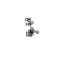 CNC(=S)NS(=O)(=O)c1cc(CCNC(=O)c2cnc3ccccc3c2)ccc1OCCOC